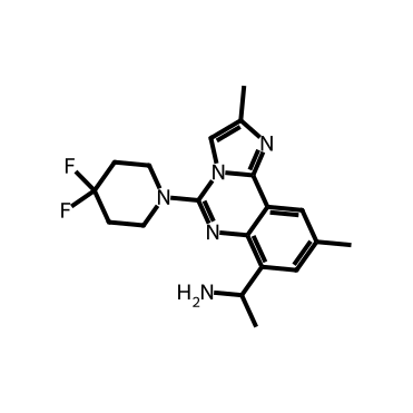 Cc1cc(C(C)N)c2nc(N3CCC(F)(F)CC3)n3cc(C)nc3c2c1